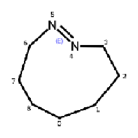 C1CCC/N=N/CCC1